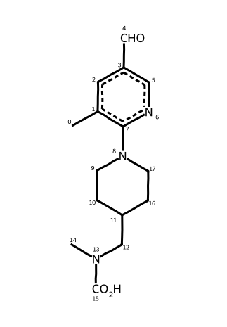 Cc1cc(C=O)cnc1N1CCC(CN(C)C(=O)O)CC1